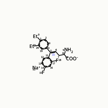 CCc1ccc(/C(=C/CC(N)C(=O)[O-])c2ccc(F)cc2F)cc1CC.[Na+]